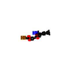 CC(=N)c1cc(-c2ccc(-c3cc(C)cc(C)c3)cc2)ccc1OC(=O)CCC1CCC(OC(=O)CCS)CC1